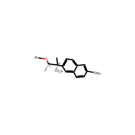 COc1ccc2cc([C@@](C)(C(=O)O)[C@H](C)OC(C)C)ccc2c1